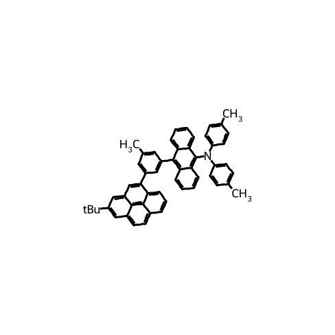 Cc1ccc(N(c2ccc(C)cc2)c2c3ccccc3c(-c3cc(C)cc(-c4cc5cc(C(C)(C)C)cc6ccc7cccc4c7c65)c3)c3ccccc23)cc1